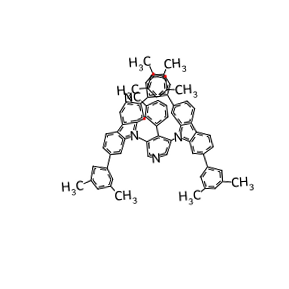 Cc1cc(C)cc(-c2ccc3c4ccc(-c5cc(C)cc(C)c5)cc4n(-c4cncc(-n5c6cc(-c7cc(C)cc(C)c7)ccc6c6ccc(-c7cc(C)cc(C)c7)cc65)c4-c4cccc(C#N)c4)c3c2)c1